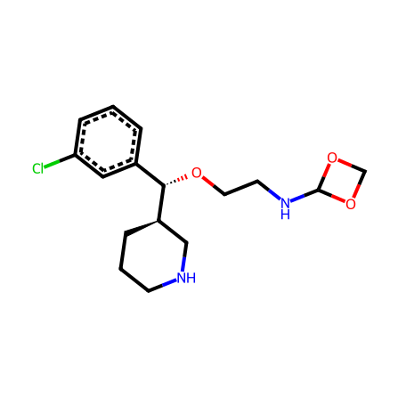 Clc1cccc([C@H](OCCNC2OCO2)[C@@H]2CCCNC2)c1